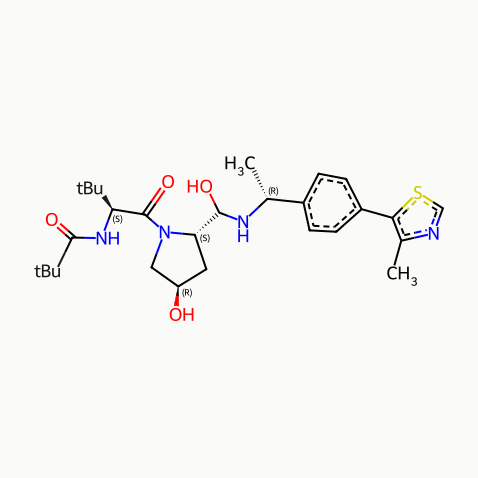 Cc1ncsc1-c1ccc([C@@H](C)NC(O)[C@@H]2C[C@@H](O)CN2C(=O)[C@@H](NC(=O)C(C)(C)C)C(C)(C)C)cc1